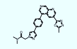 Cc1nnc(-c2cnc3cncc(-c4ccc(-c5cnn(CC(=O)N(C)C)c5)cc4)c3c2)o1